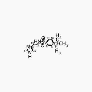 CC(C)(C)c1ccc(S(=O)(=O)NCCc2c[nH]cn2)cc1